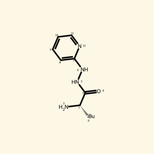 CCC(C)[C@H](N)C(=O)NNc1ccccn1